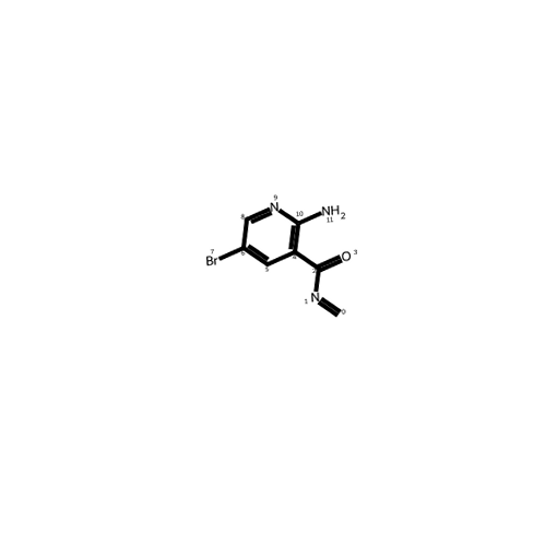 C=NC(=O)c1cc(Br)cnc1N